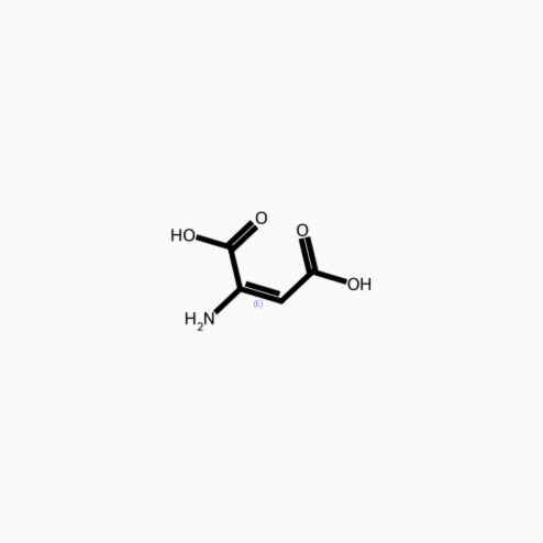 N/C(=C/C(=O)O)C(=O)O